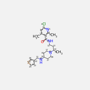 Cc1cc(Cl)nc(C)c1C(=O)NCCC(C)N1CCC(NCc2ccsc2)CC1